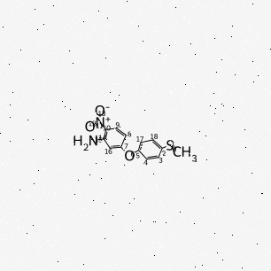 CSc1ccc(Oc2ccc([N+](=O)[O-])c(N)c2)cc1